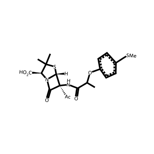 CSc1ccc(OC(C)C(=O)N[C@@]2(C(C)=O)C(=O)N3[C@@H](C(=O)O)C(C)(C)S[C@@H]32)cc1